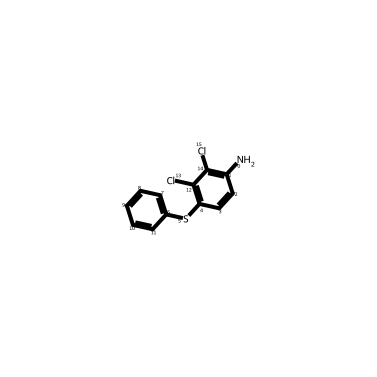 Nc1ccc(Sc2ccccc2)c(Cl)c1Cl